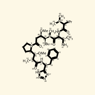 CC[C@H](C)[C@@H]([C@@H](CC(=O)N1CCCC1[C@H](OC)[C@@H](C)C(=O)N[C@@H](Cc1ccccc1)c1nnn[nH]1)OC)N(C)C(=O)[C@@H](NC(=O)C(C(C)C)N(C)C)[C@H](C)N